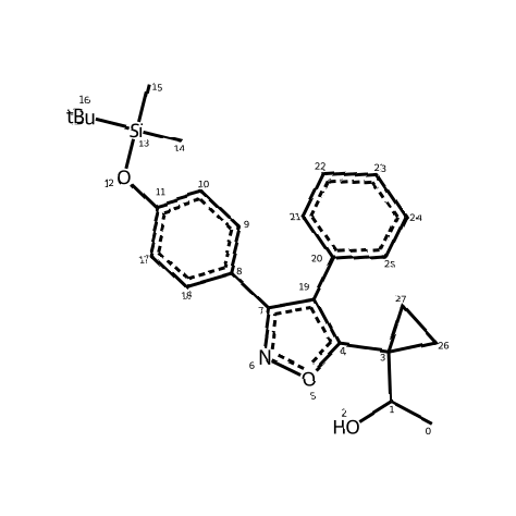 CC(O)C1(c2onc(-c3ccc(O[Si](C)(C)C(C)(C)C)cc3)c2-c2ccccc2)CC1